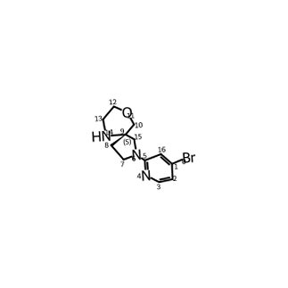 Brc1ccnc(N2CC[C@@]3(COCCN3)C2)c1